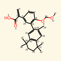 C=C(C(=O)O)c1ccc(OCOC)c(-c2cc3c(cc2C)C(C)(C)CCC3(C)C)c1